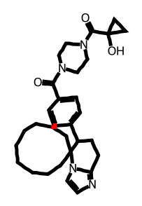 O=C(c1ccc(C2CCc3nccn3C23CCCCCCCCC3)cc1)N1CCN(C(=O)C2(O)CC2)CC1